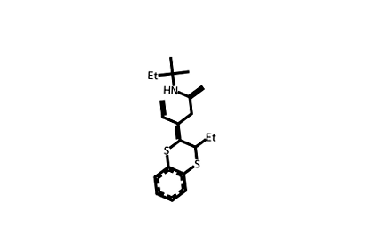 C=C/C(CC(=C)NC(C)(C)CC)=C1\Sc2ccccc2SC1CC